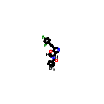 O=C(N1C[C@@H]2C[C@H]1c1cncc(C#Cc3ccc(F)cc3F)c1O2)C12CCC(C(F)(F)F)(CC1)C2